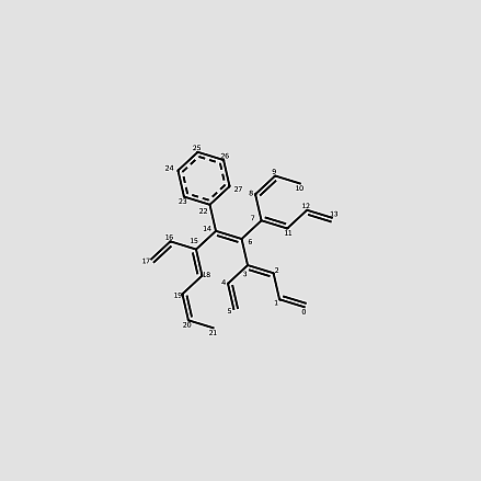 C=C/C=C(C=C)/C(C(/C=C\C)=C/C=C)=C(\C(C=C)=C\C=C/C)c1ccccc1